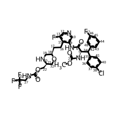 COC(=O)N[C@H](C(=O)Nc1cncc(F)c1CC[C@@H]1CN[C@H](COC(=O)NCC(F)(F)F)CO1)C(c1ccc(Cl)cc1)c1cccc(F)c1